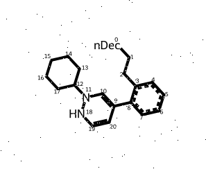 CCCCCCCCCCCCc1ccc[c]c1C1=CN(C2CCCCC2)NC=C1